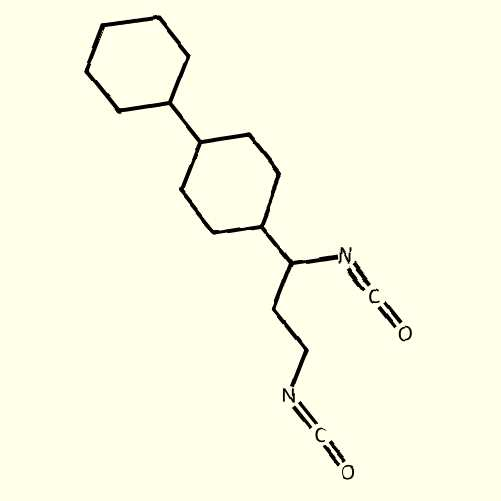 O=C=NCCC(N=C=O)C1CCC(C2CCCCC2)CC1